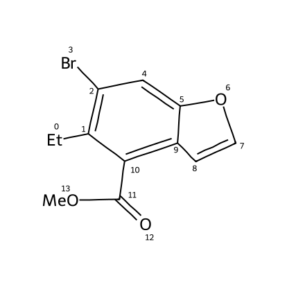 CCc1c(Br)cc2occc2c1C(=O)OC